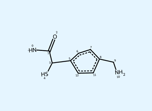 [NH]C(=O)C(S)c1ccc(CN)cc1